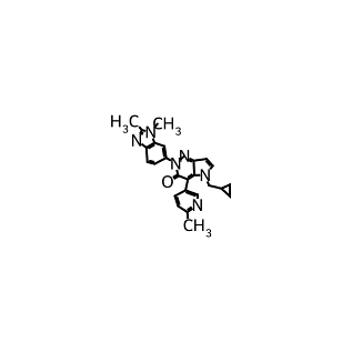 Cc1ccc(-c2c(=O)n(-c3ccc4nc(C)n(C)c4c3)nc3ccn(CC4CC4)c23)cn1